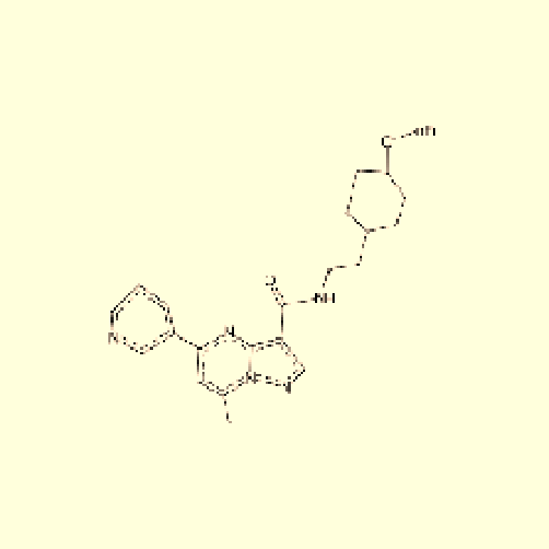 CCCOC1CCC(CCNC(=O)c2cnn3c(C)cc(-c4cccnc4)nc23)CC1